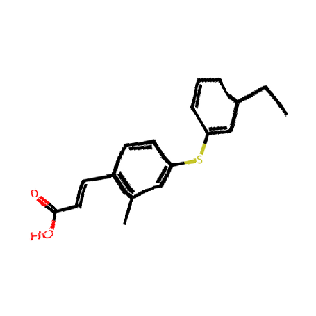 CCC1C=C(Sc2ccc(/C=C/C(=O)O)c(C)c2)C=CC1